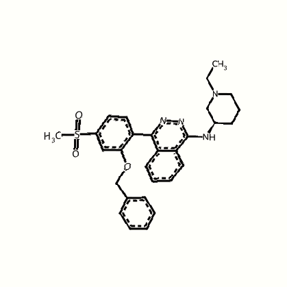 CCN1CCC[C@@H](Nc2nnc(-c3ccc(S(C)(=O)=O)cc3OCc3ccccc3)c3ccccc23)C1